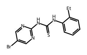 CCc1ccccc1NC(=S)Nc1ncc(Br)cn1